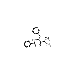 CC(C)C(=O)[C@H](Cc1ccccc1)NC(=O)c1ccccc1